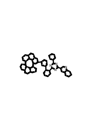 c1ccc(-c2nc(-c3cnc4ccccc4c3)nc(-c3ccccc3-c3cccc(-c4cc5ccc6cccc7c8cccc9ccc%10cccc(c(c4)c5c67)c%10c98)c3)n2)cc1